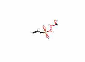 C=CCS(=O)(=O)OO[C]=O